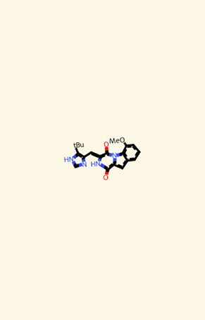 COc1cccc2cc3c(=O)[nH]/c(=C\c4nc[nH]c4C(C)(C)C)c(=O)n3c12